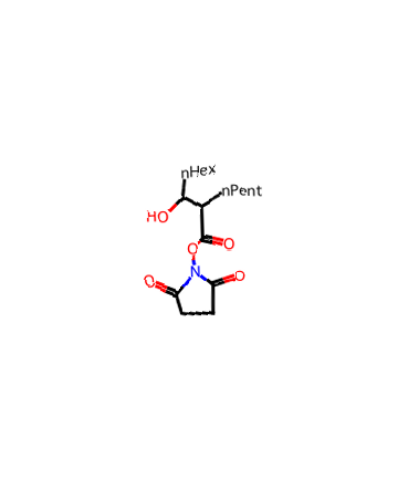 CCCCCCC(O)C(CCCCC)C(=O)ON1C(=O)CCC1=O